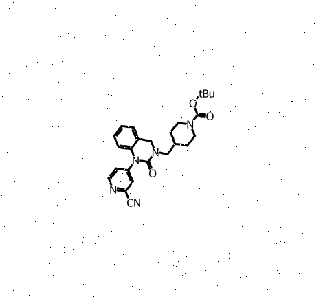 CC(C)(C)OC(=O)N1CCC(CN2Cc3ccccc3N(c3ccnc(C#N)c3)C2=O)CC1